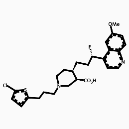 COc1ccc2nccc([C@@H](F)CC[C@@H]3CCN(CCCc4ccc(Cl)s4)C[C@@H]3C(=O)O)c2c1